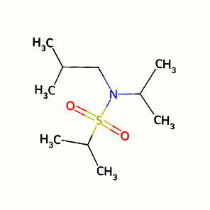 CC(C)CN(C(C)C)S(=O)(=O)C(C)C